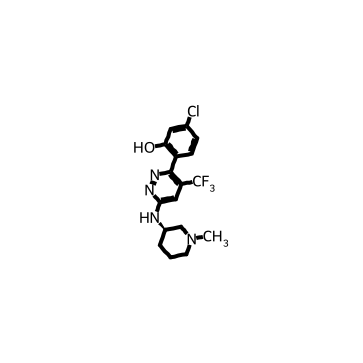 CN1CCC[C@@H](Nc2cc(C(F)(F)F)c(-c3ccc(Cl)cc3O)nn2)C1